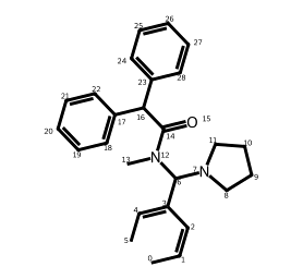 C/C=C\C(=C/C)C(N1CCCC1)N(C)C(=O)C(c1ccccc1)c1ccccc1